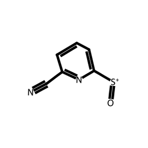 N#Cc1cccc([S+]=O)n1